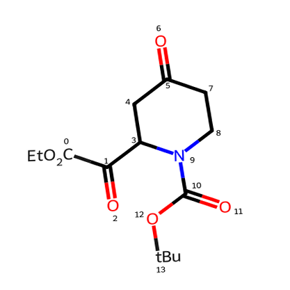 CCOC(=O)C(=O)C1CC(=O)CCN1C(=O)OC(C)(C)C